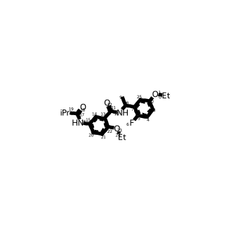 CCOc1ccc(F)c(C(C)NC(=O)c2cc(NC(=O)C(C)C)ccc2OCC)c1